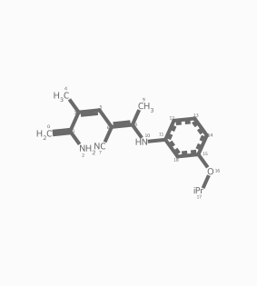 C=C(N)/C(C)=C\C(C#N)=C(/C)Nc1cccc(OC(C)C)c1